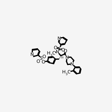 Cc1ccccc1N1CCN(C(=O)[C@H](Cc2ccc(OS(=O)(=O)c3cccnc3)cc2)N(C)S(=O)(=O)c2cccnc2)CC1